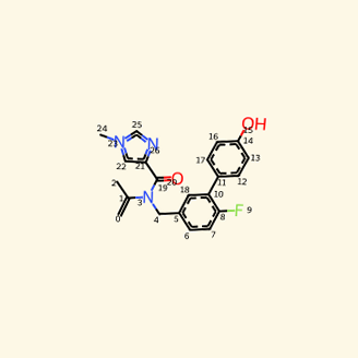 C=C(C)N(Cc1ccc(F)c(-c2ccc(O)cc2)c1)C(=O)c1cn(C)cn1